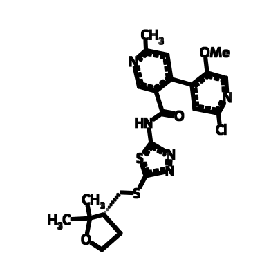 COc1cnc(Cl)cc1-c1cc(C)ncc1C(=O)Nc1nnc(SC[C@@H]2CCOC2(C)C)s1